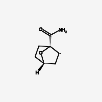 NC(=O)[C@@]12[CH]C[C@H](CC1)O2